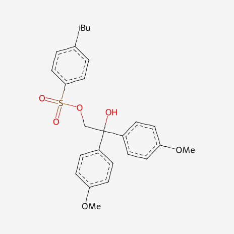 CCC(C)c1ccc(S(=O)(=O)OCC(O)(c2ccc(OC)cc2)c2ccc(OC)cc2)cc1